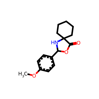 COc1ccc(C2NC3(CCCCC3)C(=O)O2)cc1